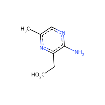 Cc1cnc(N)c(CC(=O)O)n1